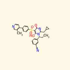 CCC(c1cccc(C#N)c1)n1c(CC2CC2)nc(=O)c(S(=O)(=O)c2ccc(-c3ccncc3C)cc2)c1O